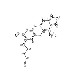 Cc1nc2nonc2c(N)c1Cc1ccc(Br)c(OCCCF)n1